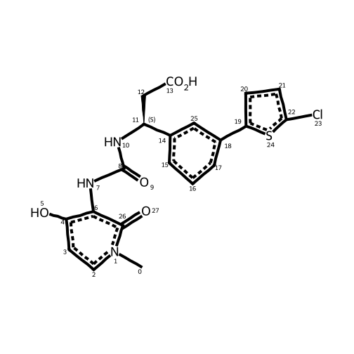 Cn1ccc(O)c(NC(=O)N[C@@H](CC(=O)O)c2cccc(-c3ccc(Cl)s3)c2)c1=O